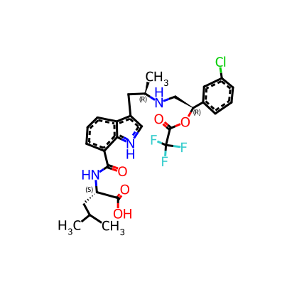 CC(C)C[C@H](NC(=O)c1cccc2c(C[C@@H](C)NC[C@H](OC(=O)C(F)(F)F)c3cccc(Cl)c3)c[nH]c12)C(=O)O